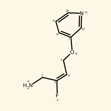 NC/C(F)=C\COc1cccnc1